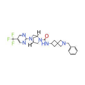 O=C(NC1CC2(C1)CN(Cc1ccccc1)C2)N1C[C@H]2C[C@@H]1CN2c1ncc(C(F)(F)F)cn1